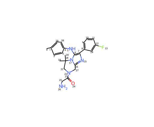 Cc1ccc(Nc2c(-c3cccc(F)c3)nc3n2C(C)(C)CN(C(=O)CN)C3)cc1